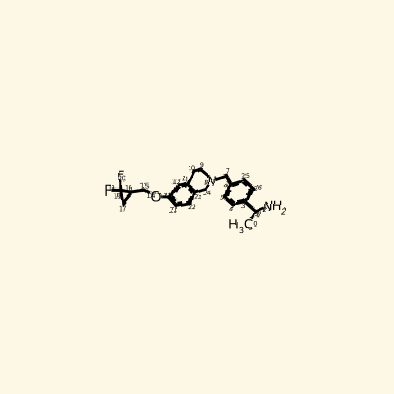 C[C@H](N)c1ccc(CN2CCc3cc(OCC4CC4(F)F)ccc3C2)cc1